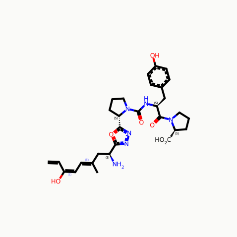 C=C/C(O)=C\C=C(/C)C[C@H](N)c1nnc([C@@H]2CCCN2C(=O)N[C@@H](Cc2ccc(O)cc2)C(=O)N2CCC[C@H]2C(=O)O)o1